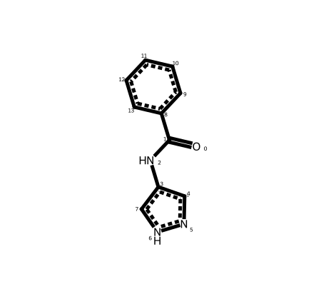 O=C(Nc1[c]n[nH]c1)c1ccccc1